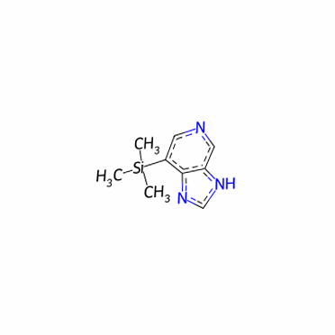 C[Si](C)(C)c1cncc2[nH]cnc12